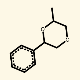 CC1COCC(c2ccccc2)O1